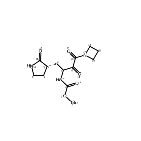 CC(C)(C)OC(=O)NC(C[C@@H]1CCNC1=O)C(=O)C(=O)N1CCC1